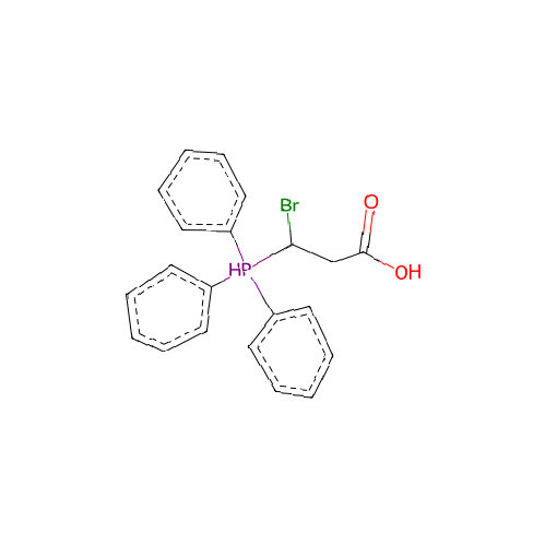 O=C(O)CC(Br)[PH](c1ccccc1)(c1ccccc1)c1ccccc1